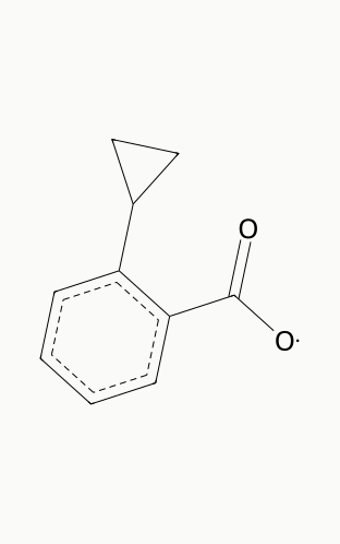 [O]C(=O)c1ccccc1C1CC1